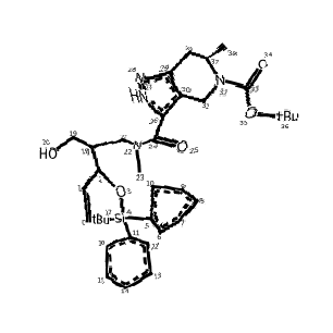 C=CC(O[Si](c1ccccc1)(c1ccccc1)C(C)(C)C)C(CO)CN(C)C(=O)c1[nH]nc2c1CN(C(=O)OC(C)(C)C)[C@H](C)C2